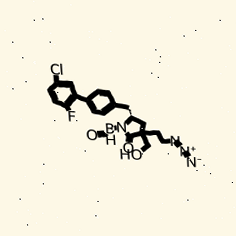 [N-]=[N+]=NCCC1(CO)C[C@@H](Cc2ccc(-c3cc(Cl)ccc3F)cc2)N(BC=O)C1=O